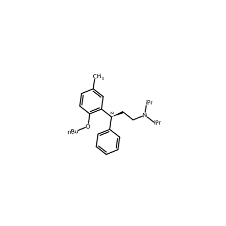 CCCCOc1ccc(C)cc1[C@@H](CCN(C(C)C)C(C)C)c1ccccc1